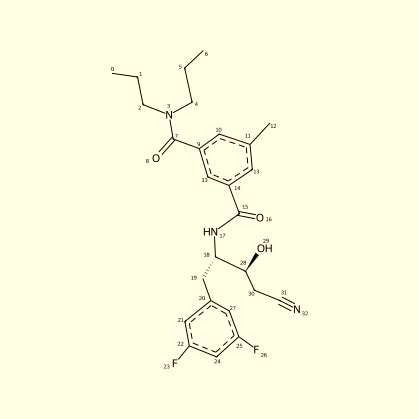 CCCN(CCC)C(=O)c1cc(C)cc(C(=O)N[C@@H](Cc2cc(F)cc(F)c2)[C@@H](O)CC#N)c1